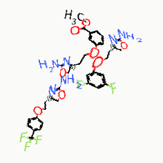 COC(=O)c1cccc(OCC[C@H]2COC(N)=N2)c1.NC1=N[C@@H](CCOc2cc(F)cc(F)c2)CO1.NC1=N[C@@H](CCOc2ccc(C(F)(F)F)cc2)CO1